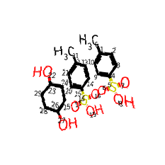 Cc1ccc(S(=O)(=O)O)cc1.Cc1ccc(S(=O)(=O)O)cc1.OC1CCC(O)CC1